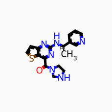 C[C@H](Nc1nc(C(=O)N2CCNC2)c2sccc2n1)c1cccnc1